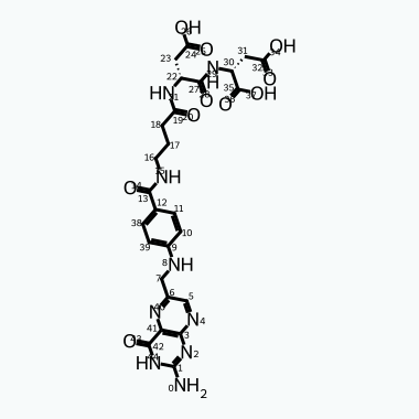 Nc1nc2ncc(CNc3ccc(C(=O)NCCCC(=O)N[C@H](CC(=O)O)C(=O)N[C@H](CC(=O)O)C(=O)O)cc3)nc2c(=O)[nH]1